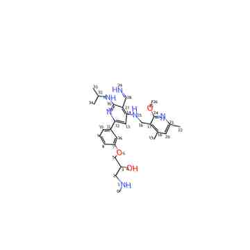 CNCC(O)COc1cccc(-c2cc(NCc3c(C)cc(C)nc3OC)c(C=N)c(NC(C)C)n2)c1